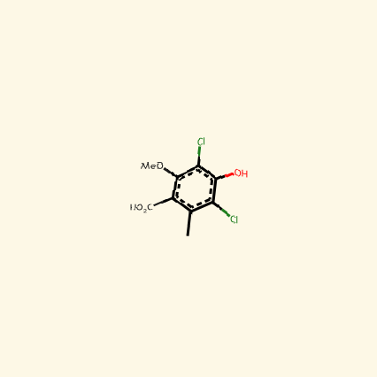 COc1c(Cl)c(O)c(Cl)c(C)c1C(=O)O